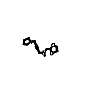 CN(CC#CCN1CCCC1)CC1OC=CO1